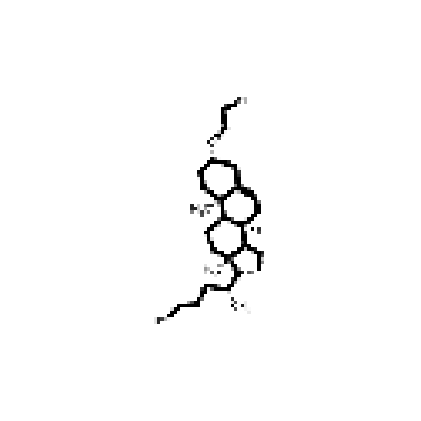 CC(C)CCC[C@@H](C)[C@H]1CCC2[C@@H]3CC=C4C[C@@H](OCCO)CC[C@]4(C)C3CC[C@@]21C